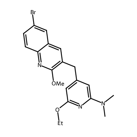 CCOc1cc(Cc2cc3cc(Br)ccc3nc2OC)cc(N(C)C)n1